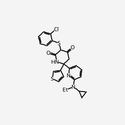 CCN(c1cccc(C2(c3ccsc3)CC(=O)C(Sc3ccccc3Cl)C(=O)N2)n1)C1CC1